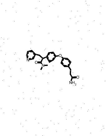 CN(C)C(=O)C(Cc1cccnc1)c1ccc(Oc2ccc(CCC(N)=O)cc2)cc1